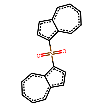 O=S(=O)(c1ccc2cccccc1-2)c1ccc2cccccc1-2